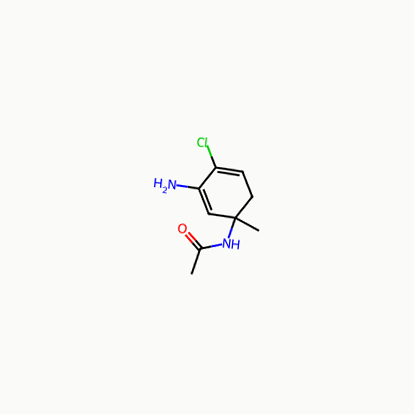 CC(=O)NC1(C)C=C(N)C(Cl)=CC1